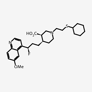 COc1ccc2nccc([C@H](F)CC[C@@H]3CCN(CCSC4CCCCC4)C[C@@H]3C(=O)O)c2c1